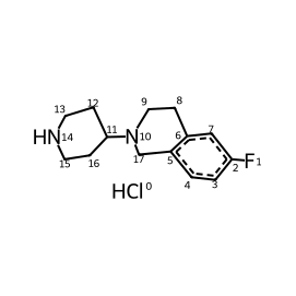 Cl.Fc1ccc2c(c1)CCN(C1CCNCC1)C2